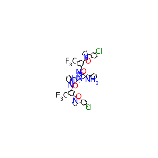 C[C@](Cc1ccccc1)(NCC(N)(Cc1ccccc1)c1nnc(-c2cc(C(=O)N3CCCC3c3cccc(Cl)c3)cc(C(F)(F)F)c2)o1)c1nnc(-c2cc(C(=O)N3CCCC3c3cccc(Cl)c3)cc(C(F)(F)F)c2)o1